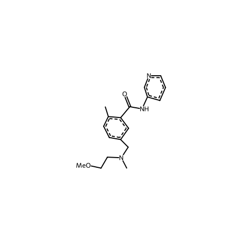 COCCN(C)Cc1ccc(C)c(C(=O)Nc2cccnc2)c1